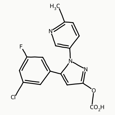 Cc1ccc(-n2nc(OC(=O)O)cc2-c2cc(F)cc(Cl)c2)cn1